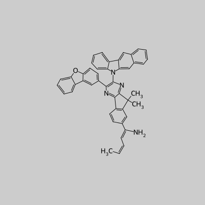 C/C=C\C=C(/N)c1ccc2c(c1)C(C)(C)c1nc(-n3c4ccccc4c4cc5ccccc5cc43)c(-c3ccc4oc5ccccc5c4c3)nc1-2